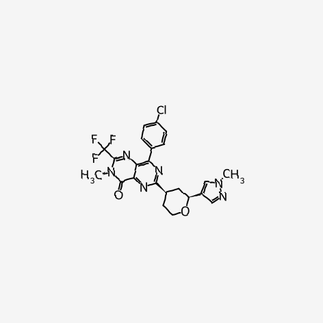 Cn1cc([C@@H]2C[C@H](c3nc(-c4ccc(Cl)cc4)c4nc(C(F)(F)F)n(C)c(=O)c4n3)CCO2)cn1